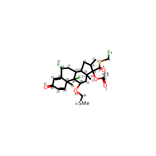 CCC(=O)OC1(C(=O)SCF)C(C)CC2C3CC(F)C4=CC(=O)C=CC4(C)C3(F)C(OCSC)CC21C